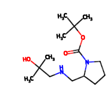 CC(C)(O)CNCC1CCCN1C(=O)OC(C)(C)C